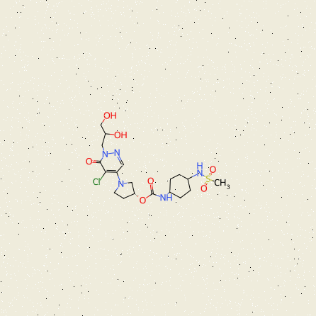 CS(=O)(=O)NC1CCC(NC(=O)O[C@@H]2CCN(c3cnn(CC(O)CO)c(=O)c3Cl)C2)CC1